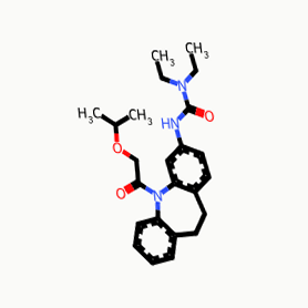 CCN(CC)C(=O)Nc1ccc2c(c1)N(C(=O)COC(C)C)c1ccccc1CC2